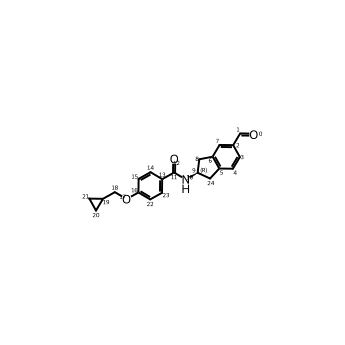 O=Cc1ccc2c(c1)C[C@H](NC(=O)c1ccc(OCC3CC3)cc1)C2